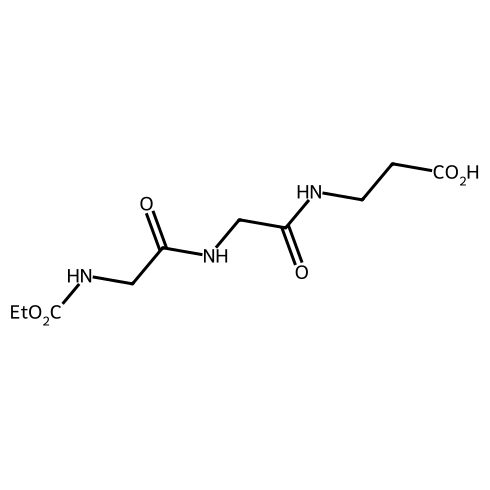 CCOC(=O)NCC(=O)NCC(=O)NCCC(=O)O